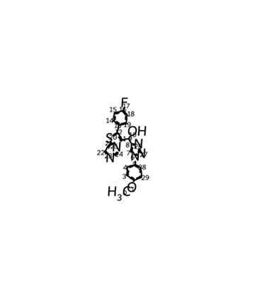 COc1ccc(-n2cc(C(O)c3c(-c4ccc(F)cc4)sc4cncn34)nn2)cc1